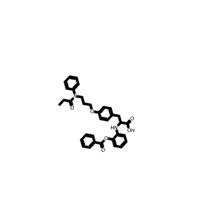 CCC(=O)N(CCCOc1ccc(CC(Nc2ccccc2OC(=O)c2ccccc2)C(=O)O)cc1)c1ccccc1